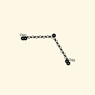 O=Cc1c(COCCOCCOCCOCCOCCOCCOc2ccccc2OCCOCCOCCOCCOCCOCCOCc2ccc3ccccc3c2C=O)ccc2ccccc12